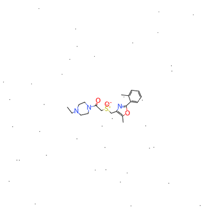 CCN1CCN(C(=O)C[S+]([O-])Cc2nc(-c3ccccc3C)oc2C)CC1